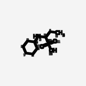 CCC(NC1CCCCC1)S(=O)(=O)O